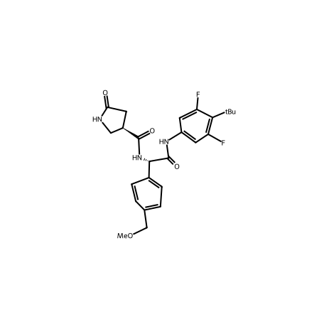 COCc1ccc([C@H](NC(=O)[C@H]2CNC(=O)C2)C(=O)Nc2cc(F)c(C(C)(C)C)c(F)c2)cc1